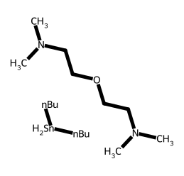 CCC[CH2][SnH2][CH2]CCC.CN(C)CCOCCN(C)C